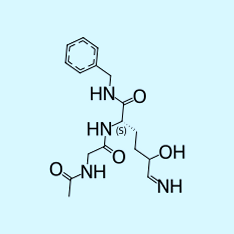 CC(=O)NCC(=O)N[C@@H](CCC(O)C=N)C(=O)NCc1ccccc1